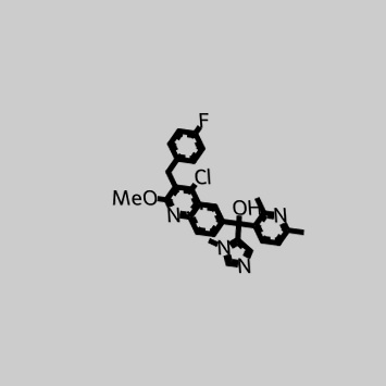 COc1nc2ccc(C(O)(c3ccc(C)nc3C)c3cncn3C)cc2c(Cl)c1Cc1ccc(F)cc1